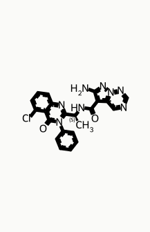 C[C@H](NC(=O)c1c(N)nn2ncncc12)c1nc2cccc(Cl)c2c(=O)n1-c1ccccc1